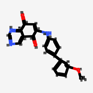 COc1cccc(-c2ccc(NC3=CC(=O)c4ncncc4C3=O)cc2)c1